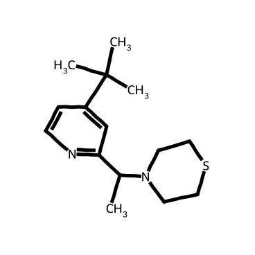 CC(c1cc(C(C)(C)C)ccn1)N1CCSCC1